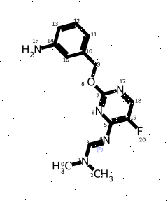 CN(C)/C=N/c1nc(OCc2cccc(N)c2)ncc1F